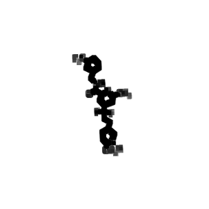 Cc1cc(C(F)(F)CCc2ccc(C(=O)O)nc2)cc(C(=O)NCc2cccc(C(F)(F)F)c2)n1